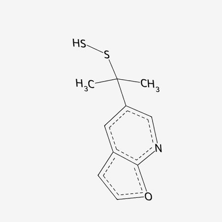 CC(C)(SS)c1cnc2occc2c1